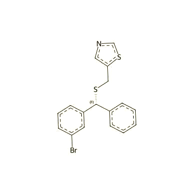 Brc1cccc([C@H](SCc2cncs2)c2ccccc2)c1